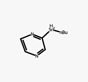 CCC[CH2][SnH2][c]1cnccn1